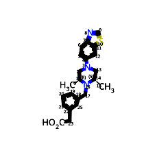 C[C@@H]1CN(c2ccc3ncsc3c2)C[C@H](C)N1Cc1cccc(CC(=O)O)c1